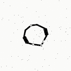 C1#CCSCC#CCSC1